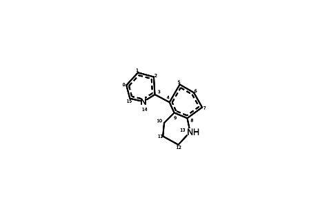 c1ccc(-c2cccc3c2CCCN3)nc1